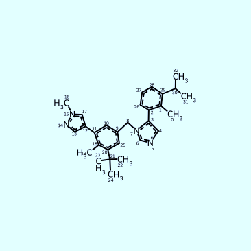 Cc1c(-c2cncn2Cc2cc(-c3cnn(C)c3)c(C)c(C(C)(C)C)c2)cccc1C(C)C